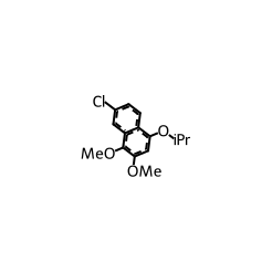 COc1cc(OC(C)C)c2ccc(Cl)cc2c1OC